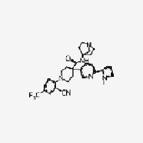 Cn1cccc1-c1ccc(C2(C(=O)NC34CCN(CC3)C4)CCN(c3ccc(C(F)(F)F)cc3C#N)CC2)cn1